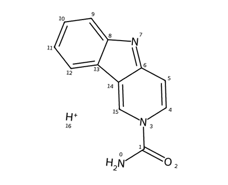 NC(=O)n1ccc2nc3ccccc3c-2c1.[H+]